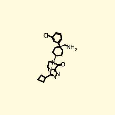 NC[C@]1(c2cccc(Cl)c2)CC[C@H](N2CCn3c(nnc3C3CCC3)C2=O)CC1